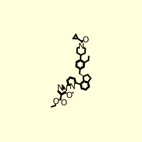 CCOC(=O)c1cnn(-c2cccc(-c3cccc4c3[C@@H](Cc3ccc(C5CCN(C(=O)C6CC6)CC5)c(CC)c3)CC4)n2)c1OC